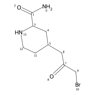 NC(=O)C1CC([CH]C(=O)CBr)CCN1